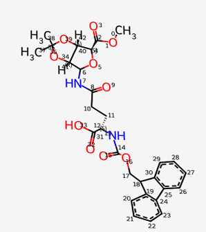 COC(=O)[C@H]1OC(NC(=O)CC[C@H](NC(=O)OCC2c3ccccc3-c3ccccc32)C(=O)O)[C@@H]2OC(C)(C)O[C@H]12